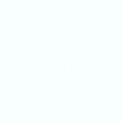 CN(C)c1ccc(/C=C/C=C/c2nc3ccc(O)cc3s2)cc1